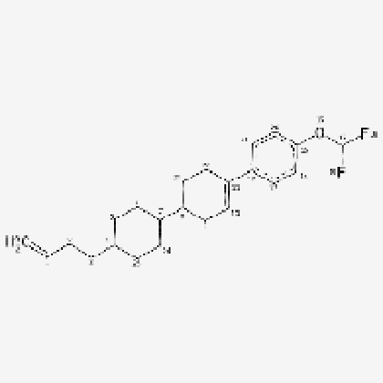 C=CCCC1CCC(C2CC=C(c3ccc(OC(F)F)cc3)CC2)CC1